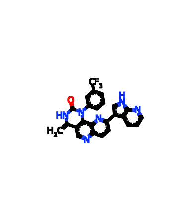 C=C1NC(=O)N(c2cccc(C(F)(F)F)c2)c2c1cnc1ccc(-c3c[nH]c4ncccc34)nc21